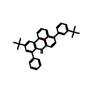 CC(C)(C)c1cccc(-c2ccc(Nc3c(-c4ccccc4)cc(C(C)(C)C)cc3-c3ccccc3)cc2)c1